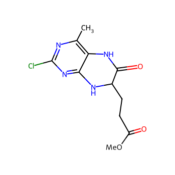 COC(=O)CCC1Nc2nc(Cl)nc(C)c2NC1=O